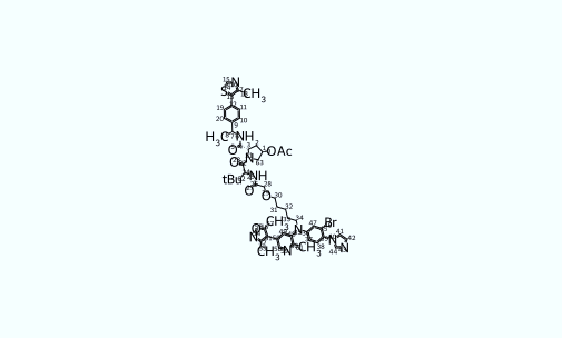 CC(=O)O[C@@H]1C[C@@H](C(=O)N[C@@H](C)c2ccc(-c3scnc3C)cc2)N(C(=O)[C@@H](NC(=O)COCCCCCN(c2ccc(-n3ccnc3)c(Br)c2)c2cc(-c3c(C)noc3C)cnc2C)C(C)(C)C)C1